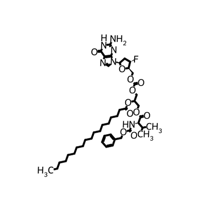 CCCCCCCCCCCCCCCCCC(=O)OC(COC(=O)OC[C@H]1O[C@@H](n2cnc3c(=O)[nH]c(N)nc32)C[C@@H]1F)COC(=O)[C@@H](NC(=O)OCc1ccccc1)C(C)C